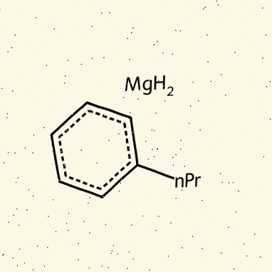 CCCc1ccccc1.[MgH2]